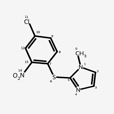 Cn1ccnc1Sc1ccc(Cl)cc1[N+](=O)[O-]